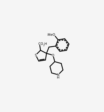 COc1ccccc1CC1(OC2CCNCC2)C=CSC1C(=O)O